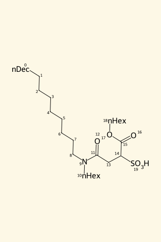 CCCCCCCCCCCCCCCCCCN(CCCCCC)C(=O)CC(C(=O)OCCCCCC)S(=O)(=O)O